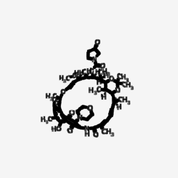 CO[C@H]1/C=C/O[C@@]2(C)Oc3c(C)c(O)c4c(c3C2=O)C(=O)C(N2CCOCC2)=C(NC(=O)/C(C)=C\C=C\[C@H](C)[C@@H]2OC(C)(C)O[C@@H]([C@@H](C)[C@H](OC(=O)N3CCC(=O)C3)[C@@H]1C)[C@@H]2C)C4=O